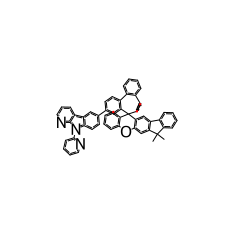 CC1(C)c2ccccc2-c2cc3c(cc21)Oc1ccccc1C31c2ccccc2-c2ccccc2-c2ccc(-c3ccc4c(c3)c3cccnc3n4-c3ccccn3)cc21